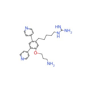 N=C(N)NCCCCCc1cc(OCCCN)c(-c2ccncc2)cc1-c1ccncc1